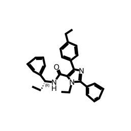 CCc1ccc(-c2nc(-c3ccccc3)n(CC)c2C(=O)N[C@H](CC)c2ccccc2)cc1